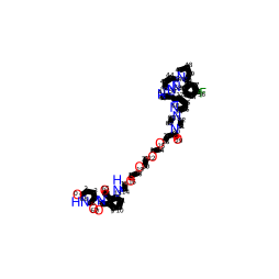 O=C1CCC(N2C(=O)c3cccc(NCCOCCOCCOCCOCCC(=O)N4CCN(c5cccc(-c6cnc7ccc(N8CCC[C@@H]8c8cccc(F)c8)nn67)n5)CC4)c3C2=O)C(=O)N1